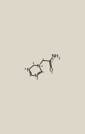 NC(=O)CN1C=NC=NC1